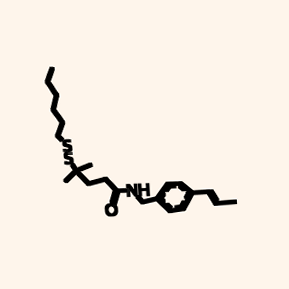 CC=Cc1ccc(CNC(=O)CCC(C)(C)SSCCCCCC)cc1